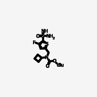 CC(C)(C)OC(=O)N(Cc1cc(F)c(S(=N)(N)=O)s1)C1CCC1